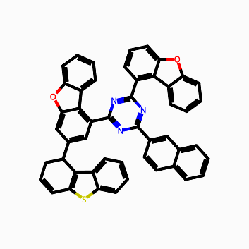 C1=Cc2sc3ccccc3c2C(c2cc(-c3nc(-c4ccc5ccccc5c4)nc(-c4cccc5oc6ccccc6c45)n3)c3c(c2)oc2ccccc23)C1